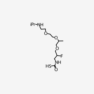 CC(C)NCCOCCOC(C)COCC(F)CNC(=O)S